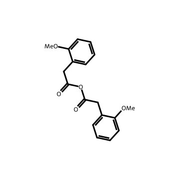 COc1ccccc1CC(=O)OC(=O)Cc1ccccc1OC